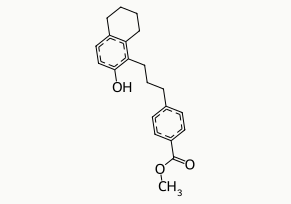 COC(=O)c1ccc(CCCc2c(O)ccc3c2CCCC3)cc1